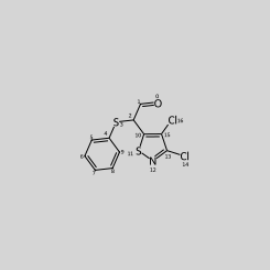 O=CC(Sc1ccccc1)c1snc(Cl)c1Cl